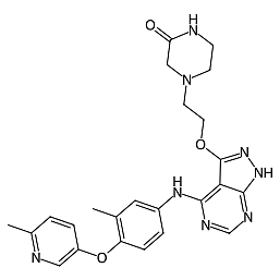 Cc1ccc(Oc2ccc(Nc3ncnc4[nH]nc(OCCN5CCNC(=O)C5)c34)cc2C)cn1